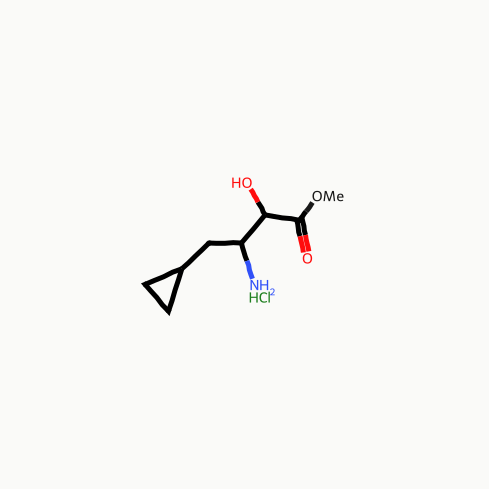 COC(=O)C(O)C(N)CC1CC1.Cl